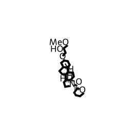 COCC(O)COC1CC[C@@]2(C)C(CC[C@@H]3[C@@H]2CC[C@@]2(C)[C@H]3CCCN2C(=O)[C@H]2CCCCO2)C1